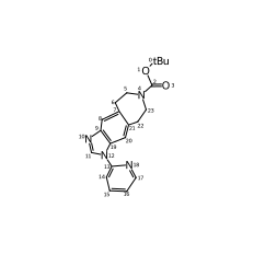 CC(C)(C)OC(=O)N1CCc2cc3ncn(-c4ccccn4)c3cc2CC1